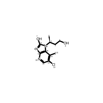 C[C@@H](CCO)n1c(O)nc2ncc(Cl)c(I)c21